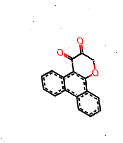 O=C1COc2c(c3ccccc3c3ccccc23)C1=O